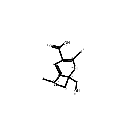 CCC1=CC(C(=O)O)=C(I)NC1(CO)CCl